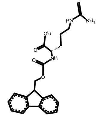 C=C(N)NCCC[C@H](NC(=O)OCC1c2ccccc2-c2ccccc21)C(=O)O